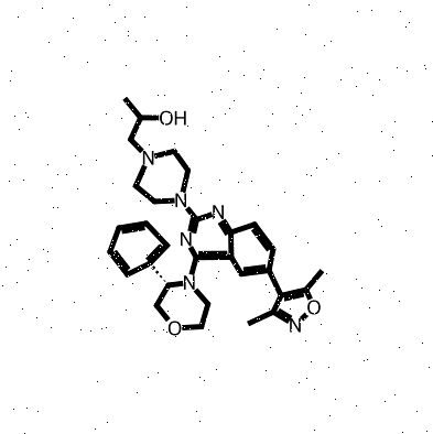 Cc1noc(C)c1-c1ccc2nc(N3CCN(CC(C)O)CC3)nc(N3CCOC[C@@H]3c3ccccc3)c2c1